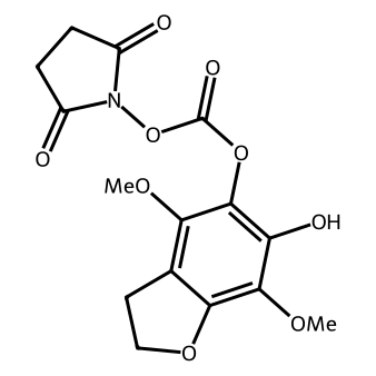 COc1c(O)c(OC(=O)ON2C(=O)CCC2=O)c(OC)c2c1OCC2